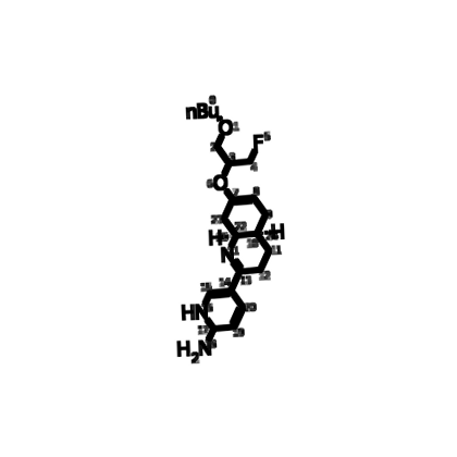 CCCCOCC(CF)OC1=CC[C@H]2CCC(C3=CNC(N)C=C3)=N[C@H]2C1